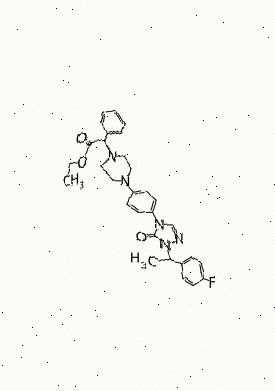 CCOC(=O)[C@@H](c1ccccc1)N1CCN(c2ccc(-n3cnn(C(C)c4ccc(F)cc4)c3=O)cc2)CC1